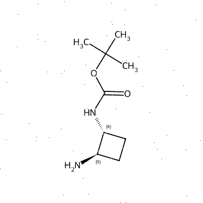 CC(C)(C)OC(=O)N[C@@H]1CC[C@H]1N